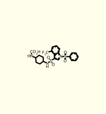 O=C(O)NC1CCC(NS(=O)(=O)c2cn(S(=O)(=O)c3ccccc3)c3cccc(C(F)(F)F)c23)CC1